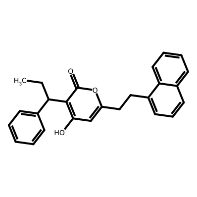 CCC(c1ccccc1)c1c(O)cc(CCc2cccc3ccccc23)oc1=O